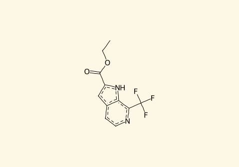 CCOC(=O)c1cc2ccnc(C(F)(F)F)c2[nH]1